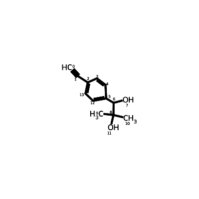 C#Cc1ccc(C(O)C(C)(C)O)cc1